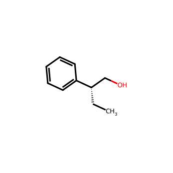 CC[C@@H](CO)c1ccccc1